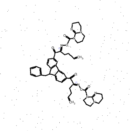 C=CCC/C(=N\OC(=O)N1CCCN2CCCN=C21)C(=O)c1ccc2c(c1)-c1cc(C(=O)/C(CCC=C)=N/OC(=O)N3CCCN4CCCN=C43)ccc1C2Cc1ccccc1